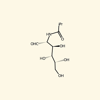 CC(C)C(=O)N[C@@H](C=O)[C@@H](O)[C@@H](O)[C@H](O)CO